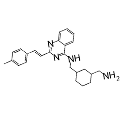 Cc1ccc(C=Cc2nc(NCC3CCCC(CN)C3)c3ccccc3n2)cc1